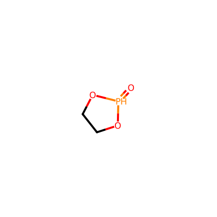 O=[PH]1OCCO1